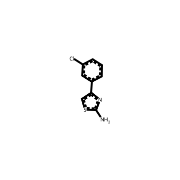 Nc1nc(-c2cccc(Cl)c2)[c]s1